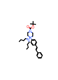 CCCCN(CCCC)[N+]1(c2ccc(C=Cc3ccccc3)cc2)CCN(C(=O)OC(C)(C)C)CC1